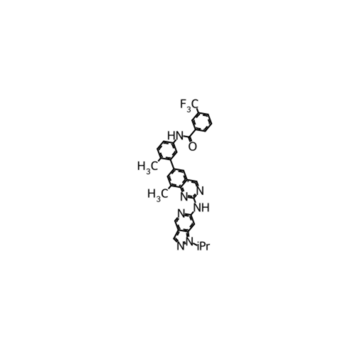 Cc1ccc(NC(=O)c2cccc(C(F)(F)F)c2)cc1-c1cc(C)c2nc(Nc3cc4c(cn3)cnn4C(C)C)ncc2c1